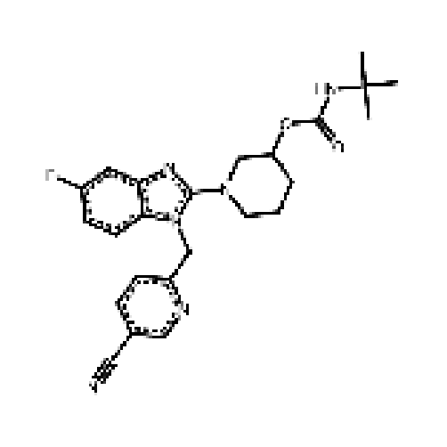 CC(C)(C)NC(=O)OC1CCCN(c2nc3cc(F)ccc3n2Cc2ccc(C#N)cn2)C1